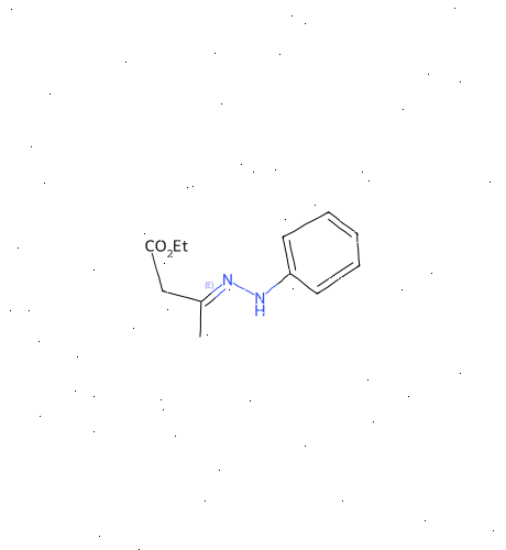 CCOC(=O)C/C(C)=N/Nc1ccccc1